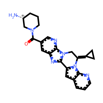 N[C@@H]1CCCN(C(=O)c2cnc3c(c2)nc2n3CC(=C3CC3)n3c-2cc2cccnc23)C1